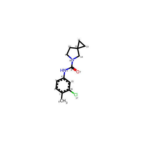 Cc1ccc(NC(=O)N2CCC3(CC3)C2)cc1Cl